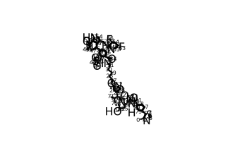 Cc1ncsc1-c1ccc([C@]2(C)NC([C@H]3C[C@@H](O)CN3C(=O)C(c3cc(OCCCCCNC(=O)c4cc5c(cc4CS(C)(=O)=O)-c4cn(C)c(=O)c6[nH]cc(c46)CN5c4ncc(F)cc4F)no3)C(C)C)=NO2)cc1